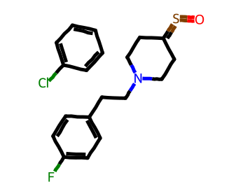 Clc1ccccc1.O=S=C1CCN(CCc2ccc(F)cc2)CC1